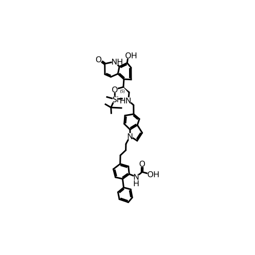 CC(C)(C)[Si](C)(C)O[C@H](CNCc1ccc2c(ccn2CCCc2ccc(-c3ccccc3)c(NC(=O)O)c2)c1)c1ccc(O)c2[nH]c(=O)ccc12